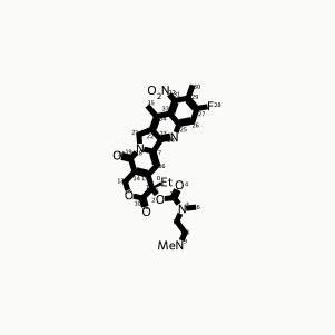 CC[C@@]1(OC(=O)N(C)CCNC)C(=O)OCc2c1cc1n(c2=O)Cc2c-1nc1cc(F)c(C)c([N+](=O)[O-])c1c2C